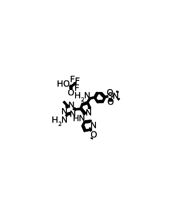 COc1ccc(Nc2ncc(C(N)c3ccc(S(=O)(=O)N(C)C)cc3)cc2-c2nc(C)nc(N)n2)cn1.O=C(O)C(F)(F)F